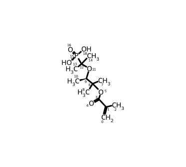 C=C(C)C(=O)OC(C)(C)[C@@H](C)OC(C)(C)P(=O)(O)O